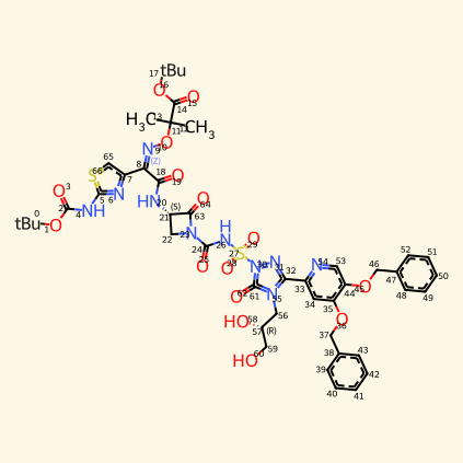 CC(C)(C)OC(=O)Nc1nc(/C(=N/OC(C)(C)C(=O)OC(C)(C)C)C(=O)N[C@H]2CN(C(=O)NS(=O)(=O)n3nc(-c4cc(OCc5ccccc5)c(OCc5ccccc5)cn4)n(C[C@@H](O)CO)c3=O)C2=O)cs1